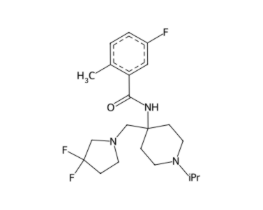 Cc1ccc(F)cc1C(=O)NC1(CN2CCC(F)(F)C2)CCN(C(C)C)CC1